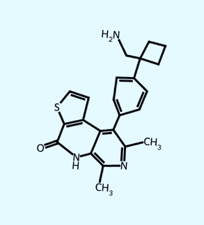 Cc1nc(C)c2[nH]c(=O)c3sccc3c2c1-c1ccc(C2(CN)CCC2)cc1